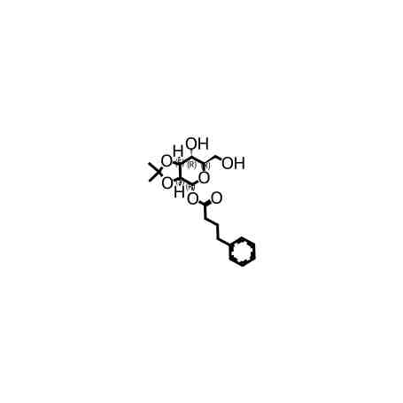 CC1(C)O[C@@H]2[C@@H](OC(=O)CCCc3ccccc3)O[C@H](CO)[C@@H](O)[C@@H]2O1